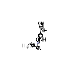 Cn1cc(-c2ccncc2/C=C/C(=O)Nc2ccc(CNC3CCS(=O)(=O)CC3)cc2)cn1